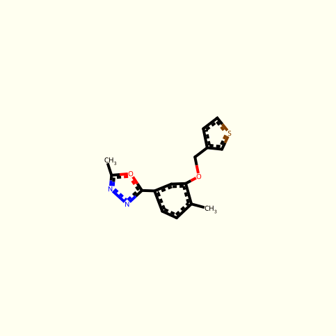 Cc1nnc(-c2ccc(C)c(OCc3ccsc3)c2)o1